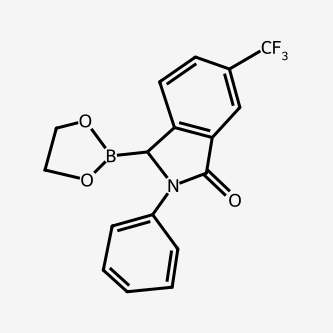 O=C1c2cc(C(F)(F)F)ccc2C(B2OCCO2)N1c1ccccc1